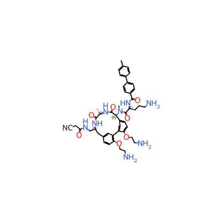 Cc1ccc(-c2ccc(C(=O)N[C@@H](CCCN)C(=O)N(C)[C@@H]3C(=O)N[C@@H](C)C(=O)N[C@H](CNC(=O)CC#N)Cc4ccc(OCCN)c(c4)-c4cc3ccc4OCCN)cc2)cc1